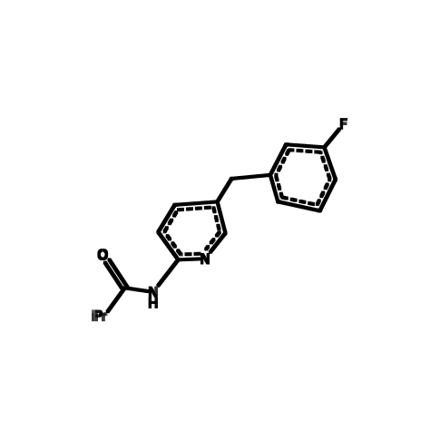 CC(C)C(=O)Nc1ccc(Cc2cccc(F)c2)cn1